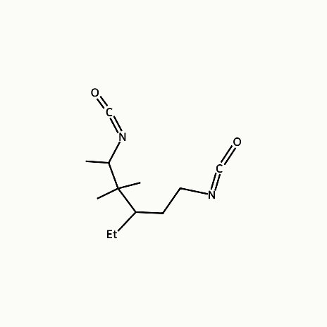 CCC(CCN=C=O)C(C)(C)C(C)N=C=O